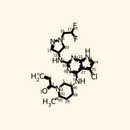 C=CC(=O)N1C[C@H](Nc2nc(NC3C=NN(CC(F)F)C3)nc3[nH]cc(Cl)c23)CC[C@@H]1C